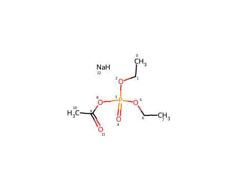 CCOP(=O)(OCC)OC(C)=O.[NaH]